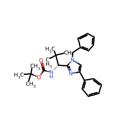 CC(C)(C)OC(=O)N[C@@H](c1nc(-c2ccccc2)cn1Cc1ccccc1)C(C)(C)C